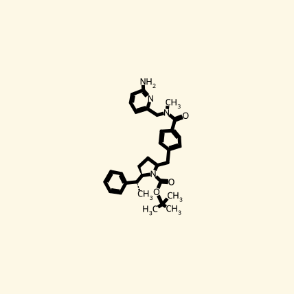 C[C@H](c1ccccc1)[C@H]1CCC(Cc2ccc(C(=O)N(C)Cc3cccc(N)n3)cc2)N1C(=O)OC(C)(C)C